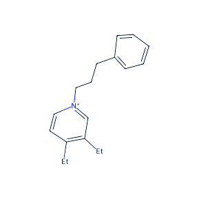 CCc1cc[n+](CCCc2ccccc2)cc1CC